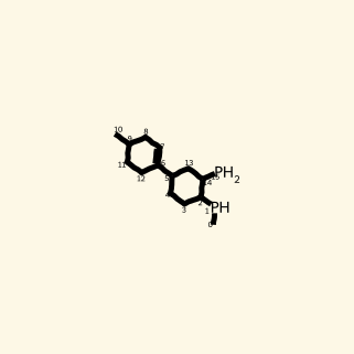 CPC1CCC(C2=CCC(C)CC2)CC1P